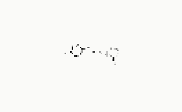 O=C1[N]CCN1CCCCc1ccc(Cl)cc1